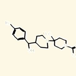 CC1(N2CCC(C(O)c3ccc(Br)cc3)CC2)CCN(C(=O)O)CC1